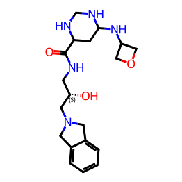 O=C(NC[C@H](O)CN1Cc2ccccc2C1)C1CC(NC2COC2)NCN1